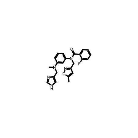 Cc1cc(CN(C(=O)c2ccccc2F)c2cccc(N(C)Cc3c[nH]cn3)c2)no1